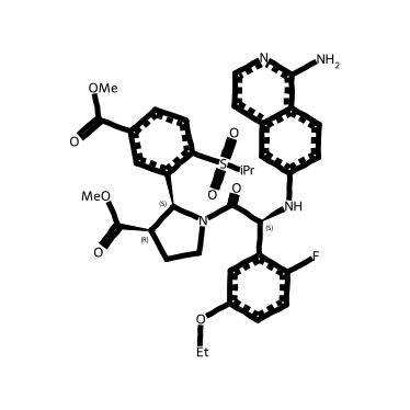 CCOc1ccc(F)c([C@H](Nc2ccc3c(N)nccc3c2)C(=O)N2CC[C@@H](C(=O)OC)[C@H]2c2cc(C(=O)OC)ccc2S(=O)(=O)C(C)C)c1